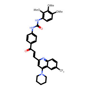 COc1ccc(NC(=O)Nc2ccc(C(=O)C=Cc3cc(N4CCCCC4)c4cc(C(F)(F)F)ccc4n3)cc2)c(OC)c1OC